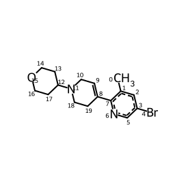 Cc1cc(Br)cnc1C1=CCN(C2CCOCC2)CC1